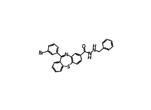 O=C(NNCc1ccccc1)c1ccc2c(c1)N=C(c1cccc(Br)c1)c1ccccc1S2